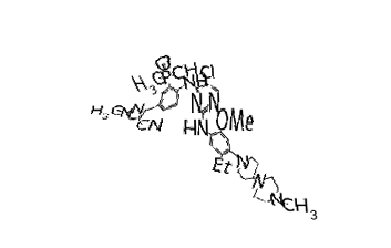 CCc1cc(Nc2ncc(Cl)c(Nc3ccc(-c4nn(C)cc4C#N)cc3P(C)(C)=O)n2)c(OC)cc1N1CCC(N2CCN(C)CC2)CC1